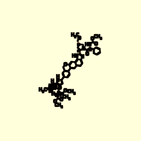 COC[C@H]1C[C@@H](c2nc3ccc4cc5c(cc4c3[nH]2)OCc2cc(-c3cnc([C@@H]4C6[C@@H]7[C@H](N4C(=O)[C@@H](NC(=O)OC)[C@@H](C)OC)[C@]67C)[nH]3)ccc2-5)N(C(=O)[C@H](NC(=O)OC)c2ccccc2)C1